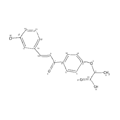 CC(Oc1ccc(C(=O)/C=C/c2cccc(Cl)c2)cc1)C(=O)O